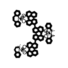 C[C@H]1CCc2ccccc2N1p1oc2ccc3ccccc3c2c2c(ccc3c(-c4cccc5c4ccc4op(N([C@@H](C)c6ccccc6)[C@@H](C)c6ccccc6)oc6ccc7c(-c8cccc9c8ccc8op(N%10c%11ccccc%11C=Cc%11ccccc%11%10)oc%10ccc%11ccccc%11c%10c89)cccc7c6c45)cccc32)o1